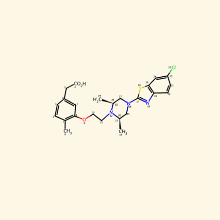 Cc1ccc(CC(=O)O)cc1OCCN1[C@H](C)CN(c2nc3ccc(Cl)cc3s2)C[C@@H]1C